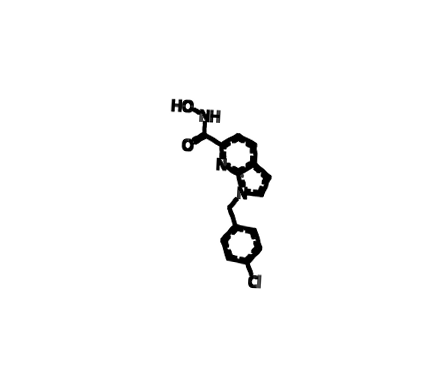 O=C(NO)c1ccc2ccn(Cc3ccc(Cl)cc3)c2n1